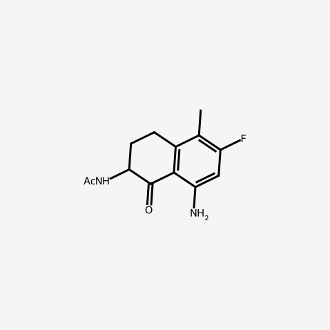 CC(=O)NC1CCc2c(C)c(F)cc(N)c2C1=O